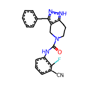 N#Cc1cccc(NC(=O)N2CCc3[nH]nc(-c4ccccc4)c3C2)c1F